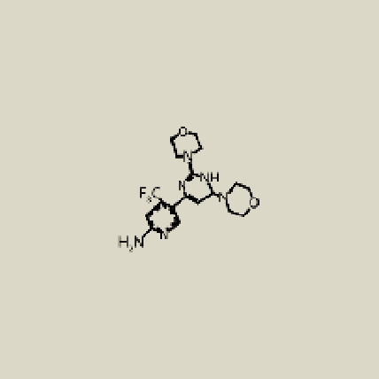 Nc1cc(C(F)(F)F)c(C2=CC(N3CCOCC3)NC(N3CCOCC3)=N2)cn1